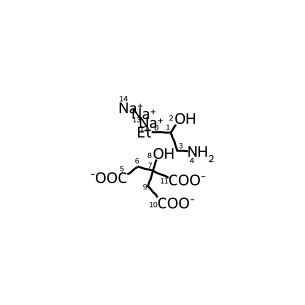 CCC(O)CN.O=C([O-])CC(O)(CC(=O)[O-])C(=O)[O-].[Na+].[Na+].[Na+]